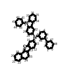 c1ccc(-c2cccc(N(c3ccc4c(c3)sc3c5ccccc5ccc43)c3ccc4c(c3)c3ccccc3n4-c3ccccc3)c2)cc1